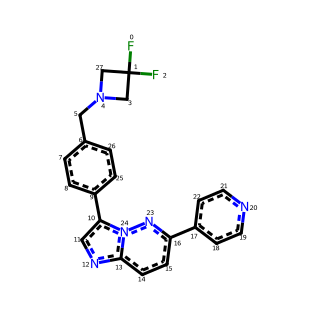 FC1(F)CN(Cc2ccc(-c3cnc4ccc(-c5ccncc5)nn34)cc2)C1